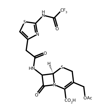 CC(=O)OCC1=C(C(=O)O)N2C(=O)C(NC(=O)Cc3csc(NC(=O)C(F)(F)F)n3)[C@H]2SC1